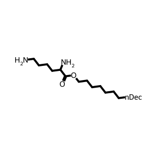 CCCCCCCCCCCCCCCCCOC(=O)C(N)CCCCN